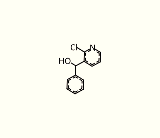 OC(c1ccccc1)c1cccnc1Cl